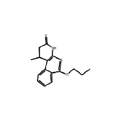 CCCOc1nc2c(c3ccccc13)C(C)CC(=O)N2